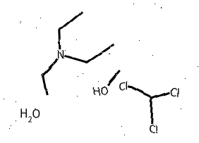 CCN(CC)CC.CO.ClC(Cl)Cl.O